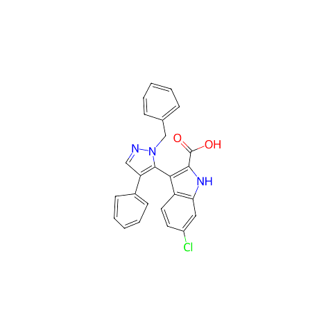 O=C(O)c1[nH]c2cc(Cl)ccc2c1-c1c(-c2ccccc2)cnn1Cc1ccccc1